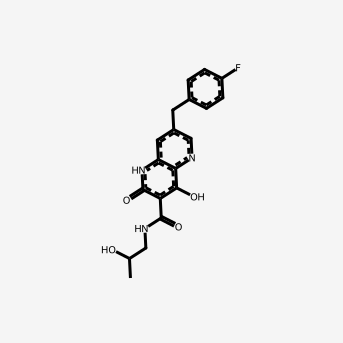 CC(O)CNC(=O)c1c(O)c2ncc(Cc3ccc(F)cc3)cc2[nH]c1=O